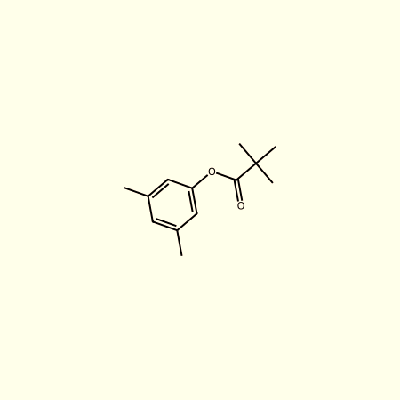 Cc1cc(C)cc(OC(=O)C(C)(C)C)c1